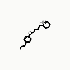 CC=Cc1ccc(OCCCCC2CCCCN2)cc1